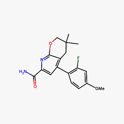 COc1ccc(-c2cc(C(N)=O)nc3c2CC(C)(C)CO3)c(F)c1